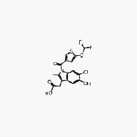 Cc1c(CC(=O)O)c2cc(O)c(Cl)cc2n1C(=O)c1csc(OC(F)F)c1